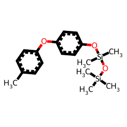 Cc1ccc(Oc2ccc(O[Si](C)(C)O[Si](C)(C)C)cc2)cc1